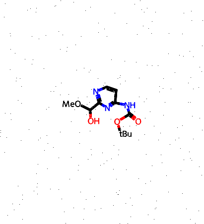 COC(O)c1nccc(NC(=O)OC(C)(C)C)n1